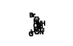 CC(=O)c1ccc2c(n1)N(C(=O)Nc1ccc(Br)cn1)[C@H]1CCN2C1